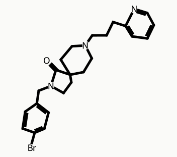 O=C1N(Cc2ccc(Br)cc2)CCC12CCN(CCCc1ccccn1)CC2